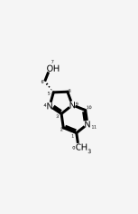 CC1=CC2=N[C@H](CO)CN2C=N1